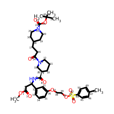 COC(=O)CC(NC(=O)[C@@H]1CCCN(C(=O)CCC2CCN(C(=O)OC(C)(C)C)CC2)C1)c1cccc(OCCOS(=O)(=O)c2ccc(C)cc2)c1